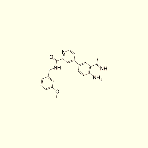 COc1cccc(CNC(=O)c2cc(-c3ccc(N)c(C(C)=N)c3)ccn2)c1